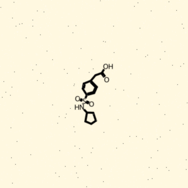 O=C(O)CC1=C=C=C(S(=O)(=O)NC2CCCC2)C=C1